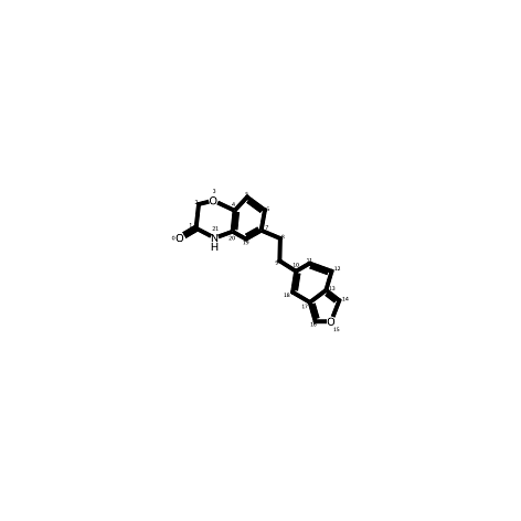 O=C1COc2ccc(CCc3ccc4cocc4c3)cc2N1